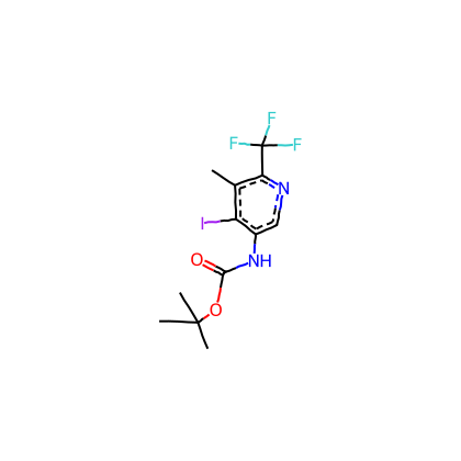 Cc1c(C(F)(F)F)ncc(NC(=O)OC(C)(C)C)c1I